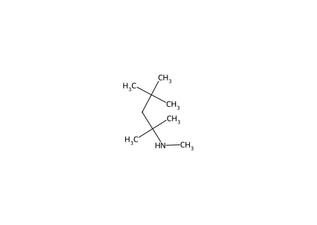 CNC(C)(C)CC(C)(C)C